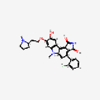 CN1CCCC1CCOc1cc2c(cc1O)c1c3c(c(-c4ccccc4Cl)cc1n2C)C(=O)NC3=O